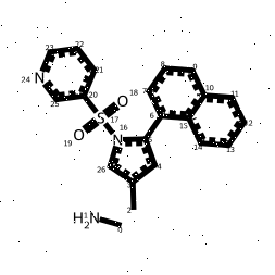 CN.Cc1cc(-c2cccc3ccccc23)n(S(=O)(=O)c2cccnc2)c1